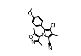 COc1ccc(-c2c(Cl)c(C)c(C#N)n2-c2c(C)noc2C)cc1